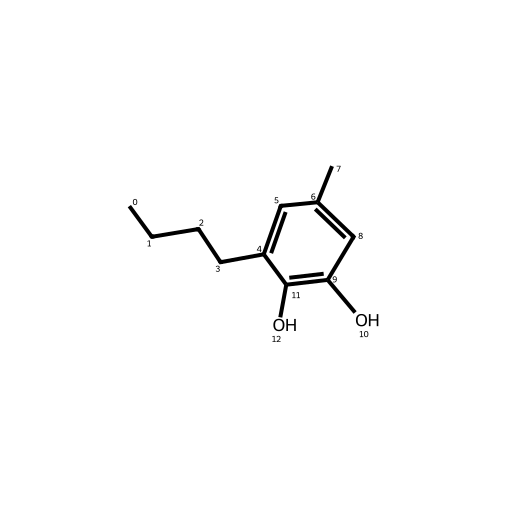 CCCCc1cc(C)cc(O)c1O